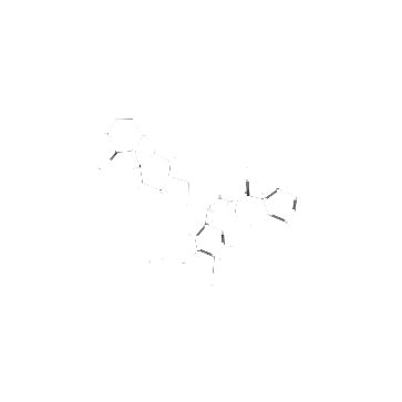 CCOC(=O)C1(N2CCCCC2=O)CCN(CC[C@H](CN(C)C(=O)c2ccccc2)c2ccc(Cl)c(Cl)c2)CC1.Cl